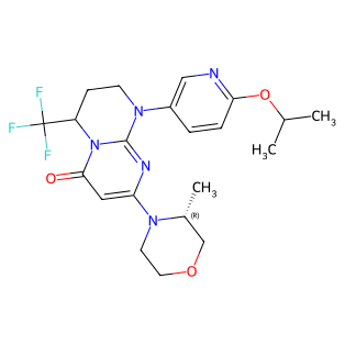 CC(C)Oc1ccc(N2CCC(C(F)(F)F)n3c2nc(N2CCOC[C@H]2C)cc3=O)cn1